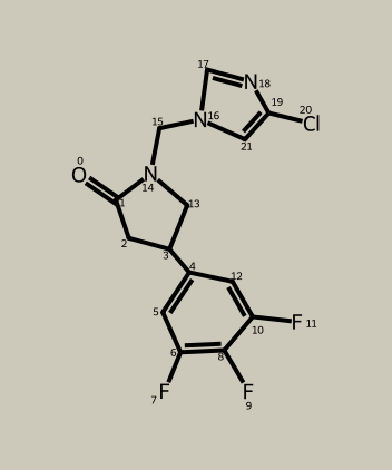 O=C1CC(c2cc(F)c(F)c(F)c2)CN1Cn1cnc(Cl)c1